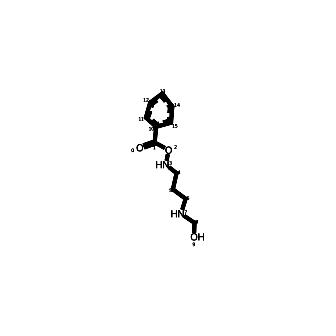 O=C(ONCCCNCO)c1ccccc1